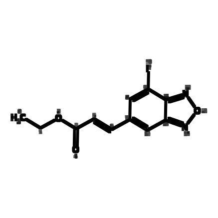 CCOC(=O)/C=C/c1cc(F)c2nonc2c1